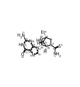 CC[C@@]12CN(C(N)=S)[C@@H]([C@H](n3cnc4c(=O)[nH]c(N)nc43)O1)[C@@H]2O